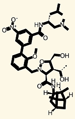 COc1c(CN2O[C@@H](CO)[C@@H]([C@H](C)O)[C@H]2C(=O)N[C@H]2C[C@H]3C[C@@H]([C@@H]2C)C3(C)C)cccc1-c1cc(C(=O)N[C@H](CC(C)C)CN(C)C)cc([N+](=O)[O-])c1